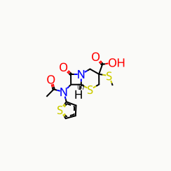 CSC1(C(=O)O)CS[C@@H]2C(N(C(C)=O)c3cccs3)C(=O)N2C1